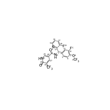 O=C(N[C@@H](c1ccc(OC(F)(F)F)c(F)c1)c1ncccc1F)c1c[nH]c(=O)c(C(F)(F)F)c1